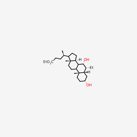 CCOC(=O)CC[C@@H](C)C1CC[C@H]2C3C(CC[C@]12C)[C@@]1(C)CC[C@@H](O)C[C@H]1[C@@H](CC)[C@H]3O